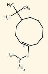 C[SiH](C)O/C1=C/CCC(C(C)(C)C)CCCCC1